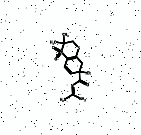 CCC1(C(=O)N=C(N)N)C=CC2=C(C1)SCC(C)(C)S2(=O)=O